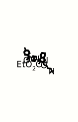 CCOC(=O)c1c(OCCCN(C)C)nc2ccccc2c1N1CCN(C(=O)c2ccc(C)cc2)CC1